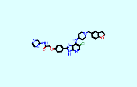 O=C(COc1ccc(-c2nc3c(NC4CCN(Cc5ccc6c(c5)CCO6)CC4)c(Cl)cnc3[nH]2)cc1)Nc1cnccn1